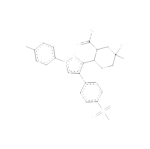 CS(=O)(=O)c1ccc(-c2cn(-c3ccc(F)cc3)nc2C2CCC(F)(F)CC2C(N)=O)cc1